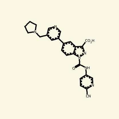 N#Cc1ccc(NC(=O)n2nc(C(=O)O)c3cc(-c4cncc(CN5CCCC5)c4)ccc32)cn1